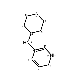 C1=NC(NC2CCNCC2)=CNC1